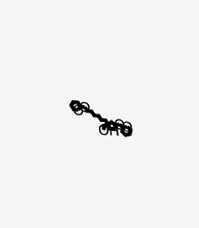 OCC1(CCCCCCOC2CCCCO2)CCC(OC2CCCCO2)C1